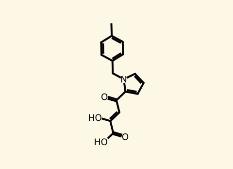 Cc1ccc(Cn2cccc2C(=O)/C=C(\O)C(=O)O)cc1